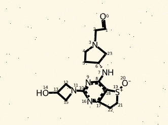 O=CCN1CC[C@@H](Nc2nc(N3CC(O)C3)nc3c2[S+]([O-])CC3)C1